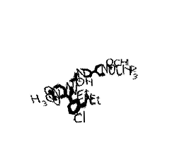 C=C(C)OC(=O)N1CCC(C2CCN(C[C@H](O)Cn3nc(-c4ccc(Cl)c(CN(CC)CC)c4)c4c3CCN(S(C)(=O)=O)C4)CC2)CC1